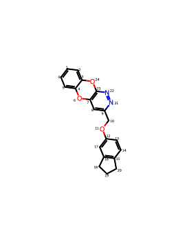 c1ccc2c(c1)Oc1cc(COc3ccc4c(c3)CCC4)nnc1O2